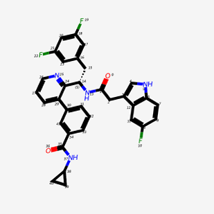 O=C(Cc1c[nH]c2ccc(F)cc12)N[C@@H](Cc1cc(F)cc(F)c1)c1ncccc1-c1cccc(C(=O)NC2CC2)c1